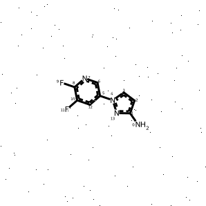 Nc1ccn(-c2cnc(F)c(F)c2)n1